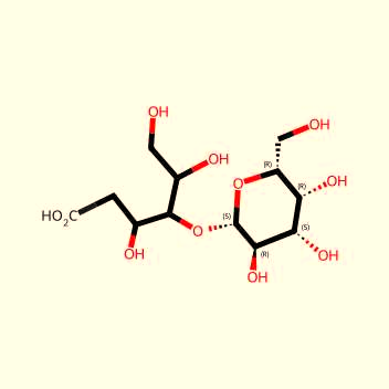 O=C(O)CC(O)C(O[C@@H]1O[C@H](CO)[C@H](O)[C@H](O)[C@H]1O)C(O)CO